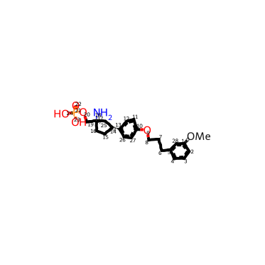 COc1cccc(CCCOc2ccc([C@@H]3CC[C@@](N)(COP(=O)(O)O)C3)cc2)c1